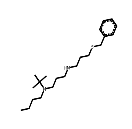 CCCCN(CCCNCCCSCc1ccccc1)C(C)(C)C